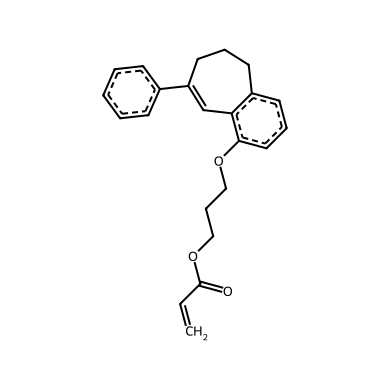 C=CC(=O)OCCCOc1cccc2c1C=C(c1ccccc1)CCC2